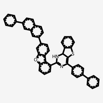 c1ccc(-c2ccc(C3=C4Sc5ccccc5C4NC(c4cccc5oc6cc(-c7ccc8ccc(-c9ccccc9)cc8c7)ccc6c45)=N3)cc2)cc1